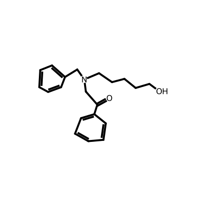 O=C(CN(CCCCCO)Cc1ccccc1)c1ccccc1